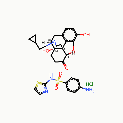 Cl.Nc1ccc(S(=O)(=O)Nc2nccs2)cc1.O=C1CC[C@@]2(O)[C@H]3Cc4ccc(O)c5c4[C@@]2(CCN3CC2CC2)[C@H]1O5